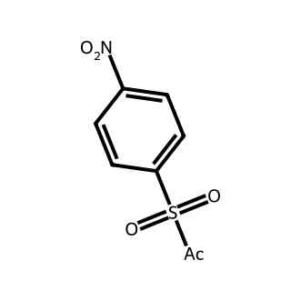 CC(=O)S(=O)(=O)c1ccc([N+](=O)[O-])cc1